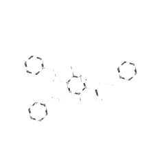 Cc1nc(C(=O)OCc2ccccc2)c(C)c(OCc2ccccc2)c1OCc1ccccc1